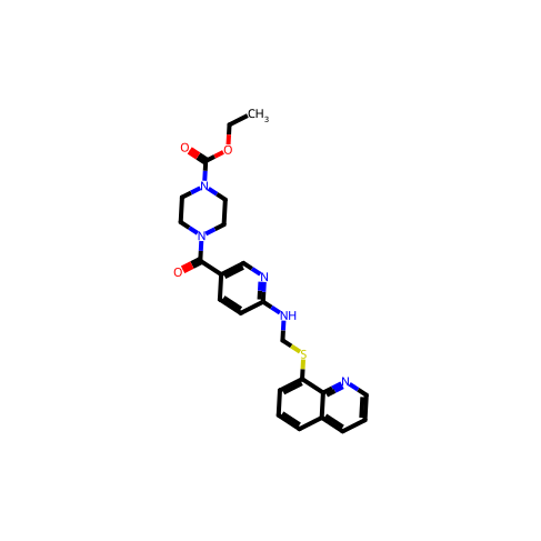 CCOC(=O)N1CCN(C(=O)c2ccc(NCSc3cccc4cccnc34)nc2)CC1